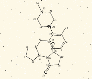 Cc1cccc(CC2CCCN2N2C(=O)CCC2=O)c1N1CCN(C)CC1